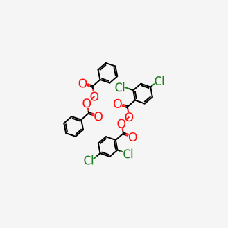 O=C(OOC(=O)c1ccc(Cl)cc1Cl)c1ccc(Cl)cc1Cl.O=C(OOC(=O)c1ccccc1)c1ccccc1